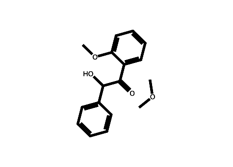 COC.COc1ccccc1C(=O)C(O)c1ccccc1